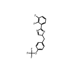 Fc1cccc(C2=NC(Cc3ccc(OC(F)(F)F)cc3)C=N2)c1F